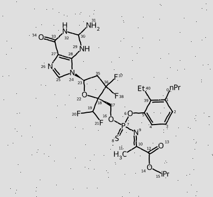 CCCc1cccc(OP(=S)(/N=C(\C)C(=O)OC(C)C)OC[C@@]2(C(F)F)O[C@@H](n3cnc4c3NC(N)NC4=O)CC2(F)F)c1CC